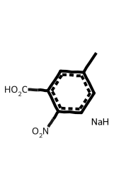 Cc1ccc([N+](=O)[O-])c(C(=O)O)c1.[NaH]